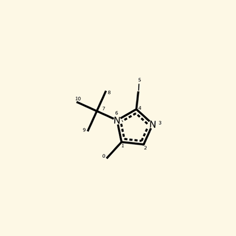 Cc1cnc(I)n1C(C)(C)C